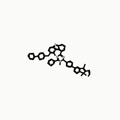 C/C=C\C1=C(C)c2cc(-c3ccc(C4N=C(c5cccc6sc7ccc(Cc8ccc(-c9ccccc9)cc8)c(C)c7c56)N=C(c5ccccc5)N4C)cc3)ccc2C1(C)C